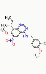 C=CC(C)c1c(OC)c([N+](=O)[O-])cc2c(NCc3ccc(OC)c(Cl)c3)ncnc12